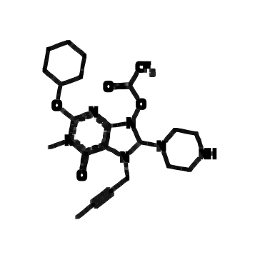 CC#CCN1c2c(nc(OC3CCCCC3)n(C)c2=O)N(OC(=O)C(F)(F)F)C1N1CCNCC1